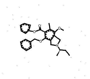 CC[C@@H](C)N1Cc2c(c(OCc3ccccc3)c(C(=O)Oc3ccccc3)c(C)c2OC)C1